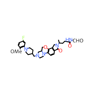 COc1ccc(F)cc1N1CCC(CN2CCN3c4ccc5c(c4OCC3C2)CN(C(C)CCC(=O)NC=O)C5=O)CC1